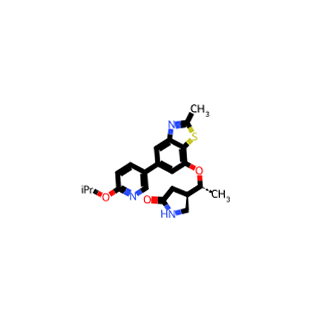 Cc1nc2cc(-c3ccc(OC(C)C)nc3)cc(O[C@H](C)[C@H]3CNC(=O)C3)c2s1